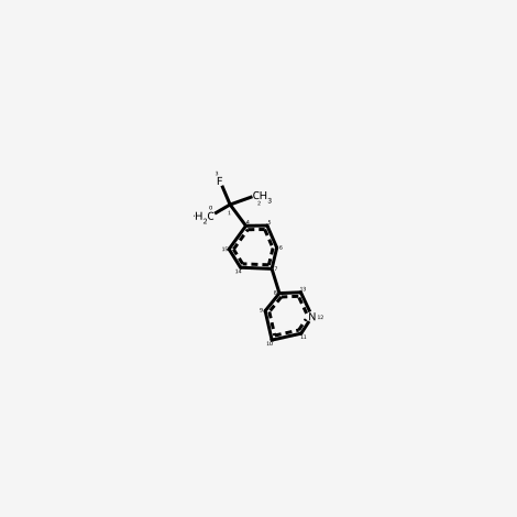 [CH2]C(C)(F)c1ccc(-c2cccnc2)cc1